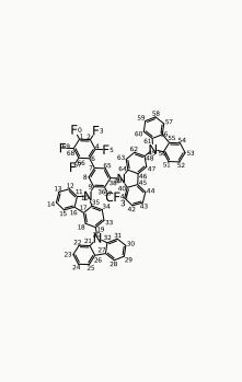 Fc1c(F)c(F)c(-c2cc(-n3c4ccccc4c4cc(-n5c6ccccc6c6ccccc65)ccc43)c(C(F)(F)F)c(-n3c4ccccc4c4cc(-n5c6ccccc6c6ccccc65)ccc43)c2)c(F)c1F